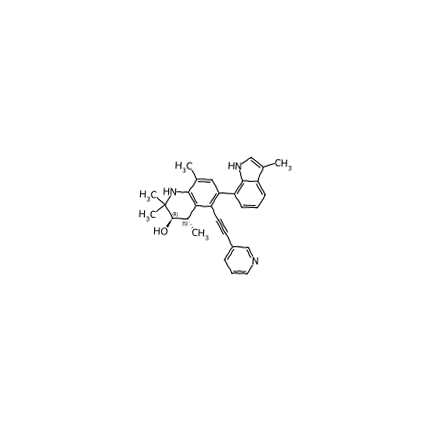 Cc1cc(-c2cccc3c(C)c[nH]c23)c(C#Cc2cccnc2)c2c1NC(C)(C)[C@H](O)[C@H]2C